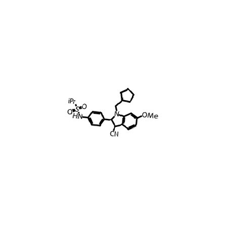 COc1ccc2c(c1)N(CC1CCCC1)C(c1ccc(NS(=O)(=O)C(C)C)cc1)C2C#N